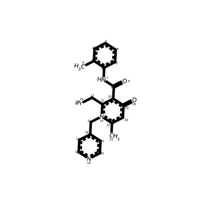 Cc1ccccc1NC(=O)c1c(CC(C)C)n(Cc2ccncc2)c(C)cc1=O